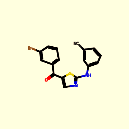 N#Cc1cccc(Nc2ncc(C(=O)c3cccc(Br)c3)s2)c1